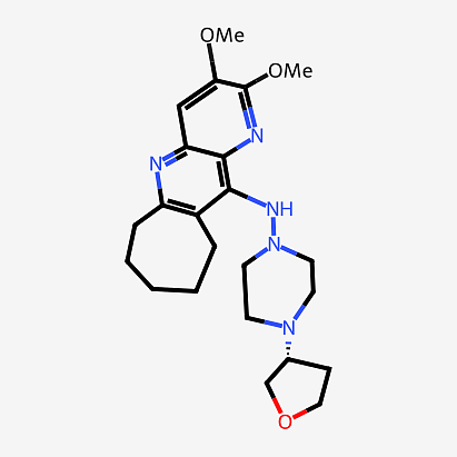 COc1cc2nc3c(c(NN4CCN([C@@H]5CCOC5)CC4)c2nc1OC)CCCCC3